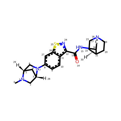 CN1C[C@@H]2C[C@H]1CN2c1ccc2c(C(=O)N[C@H]3CN4CCC3CC4)nsc2c1